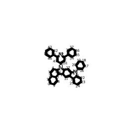 C1=CC2C=CC3=C(C2C=C1)C1C=c2c(n(-c4ccccc4)c4ccccc24)=CC1N3c1cc(-c2ccccc2)nc(-c2ccccc2)c1